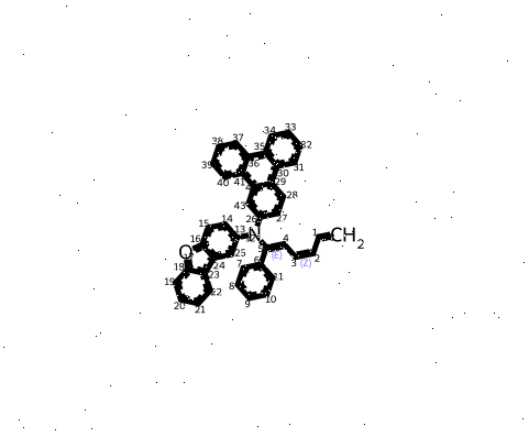 C=C/C=C\C=C(/c1ccccc1)N(c1ccc2oc3ccccc3c2c1)c1ccc2c3ccccc3c3ccccc3c2c1